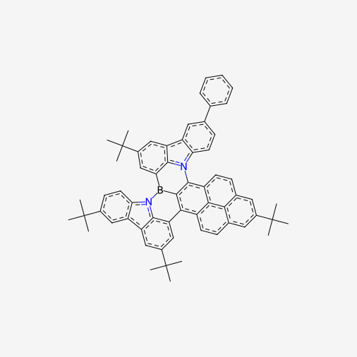 CC(C)(C)c1cc2ccc3c4c5c(c6ccc(c1)c2c36)-n1c2ccc(-c3ccccc3)cc2c2cc(C(C)(C)C)cc(c21)B5n1c2ccc(C(C)(C)C)cc2c2cc(C(C)(C)C)cc-4c21